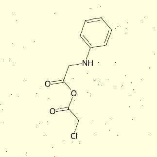 O=C(CCl)OC(=O)CNc1ccccc1